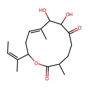 C/C=C(/C)C1C/C=C(\C)C(O)C(O)C(=O)CCC(C)C(=O)O1